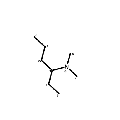 CC[C]C(CC)N(C)C